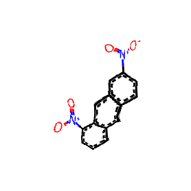 O=[N+]([O-])c1ccc2cc3cccc([N+](=O)[O-])c3cc2c1